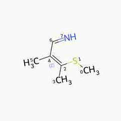 CS/C(C)=C(/C)C=N